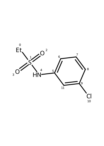 CCS(=O)(=O)Nc1cccc(Cl)c1